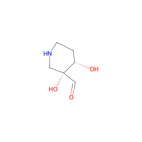 O=C[C@@]1(O)CNCC[C@@H]1O